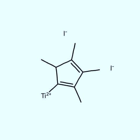 CC1=C(C)C(C)[C]([Ti+2])=C1C.[I-].[I-]